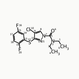 CCN(CC)C(=O)n1cc(Cl)c(Sc2cc(F)ccc2F)n1